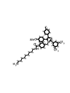 COc1ccc(-c2c(-c3ccc(C)cc3)nc(-c3cc(C(F)(F)F)cc(C(F)(F)F)c3)n2Cc2ccc(C(=O)NCCCCCCCCCN)cc2)cc1